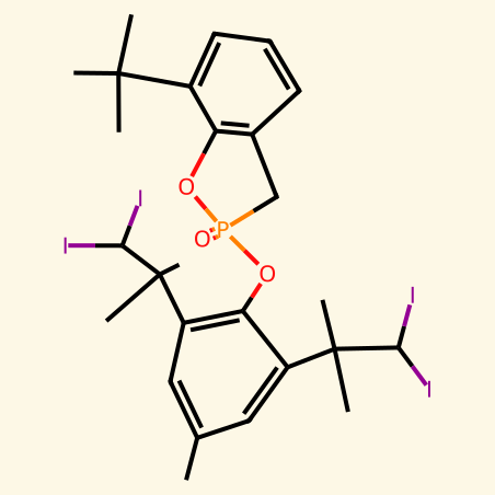 Cc1cc(C(C)(C)C(I)I)c(OP2(=O)Cc3cccc(C(C)(C)C)c3O2)c(C(C)(C)C(I)I)c1